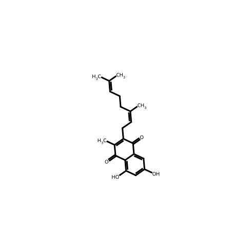 CC(C)=CCCC(C)=CCC1=C(C)C(=O)c2c(O)cc(O)cc2C1=O